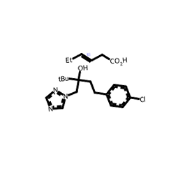 CC(C)(C)C(O)(CCc1ccc(Cl)cc1)Cn1cncn1.CC/C=C/CC(=O)O